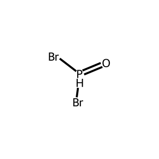 O=[PH](Br)Br